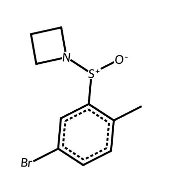 Cc1ccc(Br)cc1[S+]([O-])N1CCC1